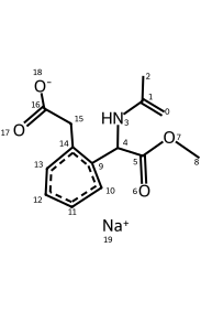 C=C(C)NC(C(=O)OC)c1ccccc1CC(=O)[O-].[Na+]